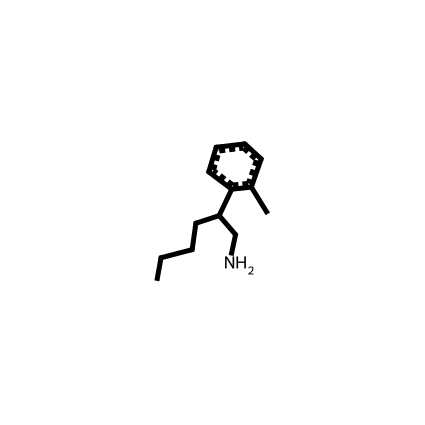 CCCCC(CN)c1ccccc1C